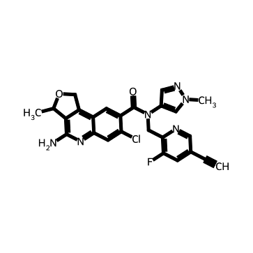 C#Cc1cnc(CN(C(=O)c2cc3c4c(c(N)nc3cc2Cl)C(C)OC4)c2cnn(C)c2)c(F)c1